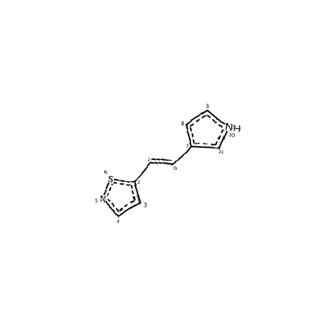 C(=Cc1ccns1)c1cc[nH]c1